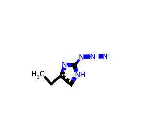 CCc1c[nH]c(N=[N+]=[N-])n1